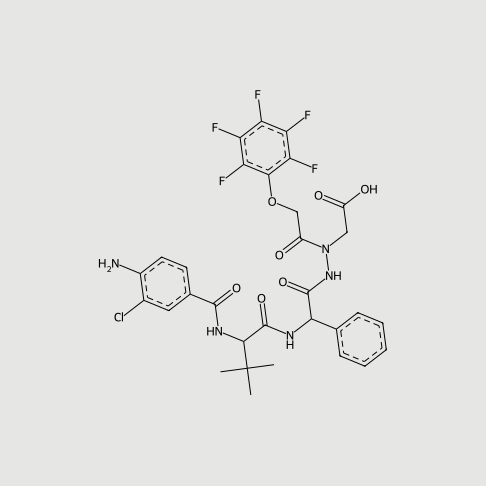 CC(C)(C)C(NC(=O)c1ccc(N)c(Cl)c1)C(=O)NC(C(=O)NN(CC(=O)O)C(=O)COc1c(F)c(F)c(F)c(F)c1F)c1ccccc1